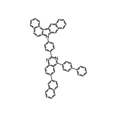 c1ccc(-c2ccc(-c3nc(-c4ccc(-n5c6cc7ccccc7cc6c6c7ccccc7ccc65)cc4)nc4ccc(-c5ccc6ccccc6c5)cc34)cc2)cc1